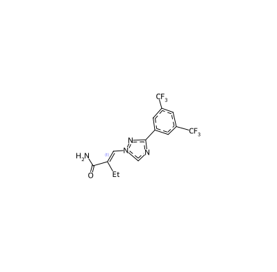 CC/C(=C\n1cnc(-c2cc(C(F)(F)F)cc(C(F)(F)F)c2)n1)C(N)=O